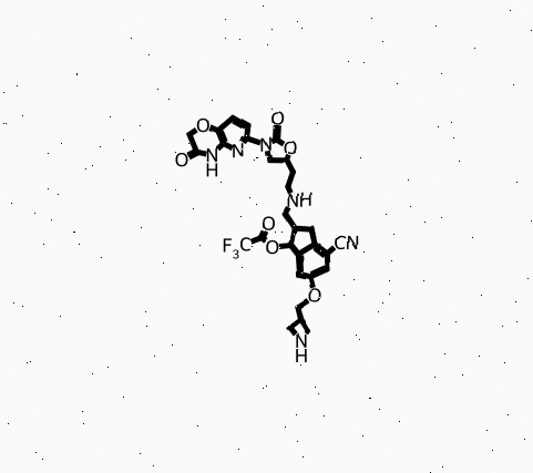 N#Cc1cc(OCC2CNC2)cc2c1CC(CNCCC1CN(c3ccc4c(n3)NC(=O)CO4)C(=O)O1)C2OC(=O)C(F)(F)F